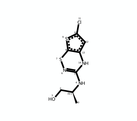 C[C@@H](CO)NC1=NSc2sc(Cl)cc2N1